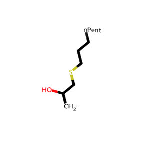 [CH2]C(O)CSCCCCCCCC